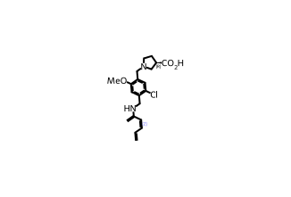 C=C/C=C\C(=C)NCc1cc(OC)c(CN2CC[C@@H](C(=O)O)C2)cc1Cl